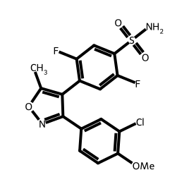 COc1ccc(-c2noc(C)c2-c2cc(F)c(S(N)(=O)=O)cc2F)cc1Cl